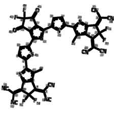 [C-]#[N+]/C(C#N)=C1/c2c(sc(-c3ccc(-c4sc(-c5ccc(-c6sc7c(c6C)/C(=C(/C#N)[N+]#[C-])C(F)(F)/C7=C(\C#N)[N+]#[C-])s5)c5c4C(=O)C(F)(F)C5=O)s3)c2C)/C(=C(\C#N)[N+]#[C-])C1(F)F